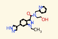 CCn1nc(C(=O)N(CCO)Cc2ccccn2)c2ccc(-c3cn[nH]c3)cc21